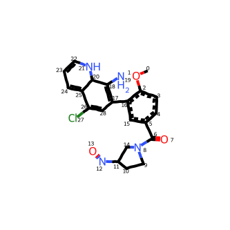 COc1ccc(C(=O)N2CCC(N=O)C2)cc1C1=C(N)C2NC=CC=C2C(Cl)=C1